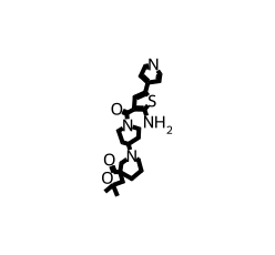 CC1(C)CC2(CCCN(C3CCN(C(=O)c4cc(-c5ccncc5)sc4N)CC3)C2)C(=O)O1